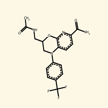 CC(=O)NCC1CN(c2ccc(C(F)(F)F)cc2)c2ccc(C(N)=O)nc2O1